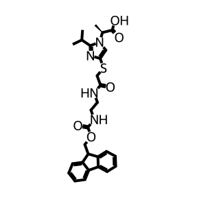 CC(C)c1nc(SCC(=O)NCCNC(=O)OCC2c3ccccc3-c3ccccc32)cn1[C@@H](C)C(=O)O